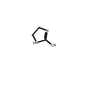 N#CC1=NC[C]N1